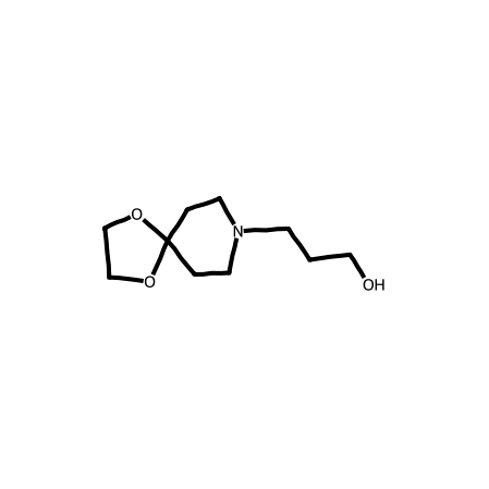 OCCCN1CCC2(CC1)OCCO2